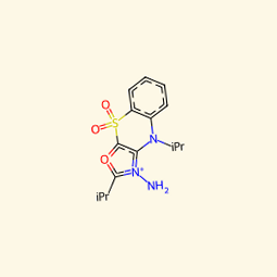 CC(C)c1oc2c([n+]1N)N(C(C)C)c1ccccc1S2(=O)=O